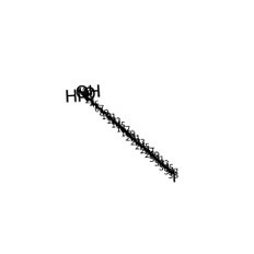 O=C(CCCCCCCCCCCCCCCCCCCCCCCCCCCCCCCCCCCCI)NO